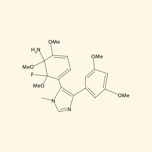 COC1=CC=C(c2c(-c3cc(OC)cc(OC)c3)ncn2C)C(F)(OC)C1(N)OC